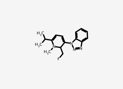 CC(C)C1=CC=C(n2nnc3ccccc32)C(CF)N1C